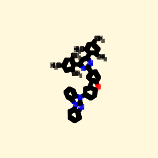 Cc1cc(C)c(-c2cc(-c3c(C)cc(C)cc3C)nc(-c3ccc4oc5ccc(-n6c7ccccc7n7c8ccccc8nc67)cc5c4c3)n2)c(C)c1